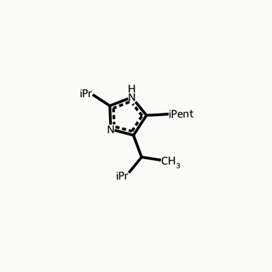 CCCC(C)c1[nH]c(C(C)C)nc1C(C)C(C)C